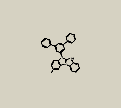 Ic1ccc2c(c1)N1c3ccccc3NC1N2c1cc(-c2ccccc2)cc(-c2ccccc2)c1